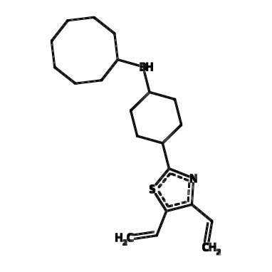 C=Cc1nc(C2CCC(BC3CCCCCCC3)CC2)sc1C=C